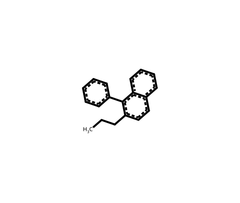 CCCc1ccc2ccccc2c1-c1ccccc1